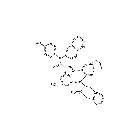 C[C@@H]1Cc2ccccc2CN1C(=O)c1cc2c(cc1-c1cc(C(=O)N(c3ccc(O)cc3)c3ccc4ncccc4c3)c3ccccn13)OCO2.Cl